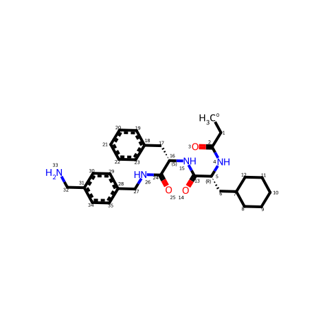 CCC(=O)N[C@H](CC1CCCCC1)C(=O)N[C@@H](Cc1ccccc1)C(=O)NCc1ccc(CN)cc1